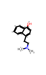 CN(C)CCc1ccc(O)c2ccccc12